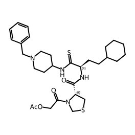 CC(=O)OCC(=O)N1CSC[C@H]1C(=O)N[C@H](CCC1CCCCC1)C(=S)NC1CCN(Cc2ccccc2)CC1